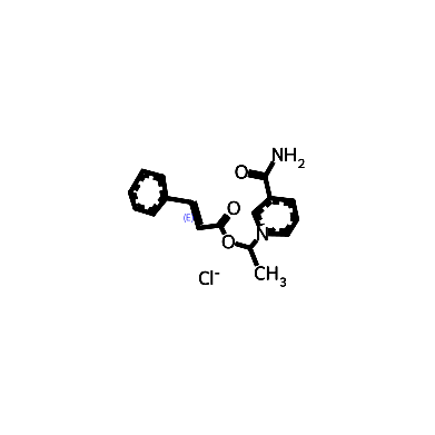 CC(OC(=O)/C=C/c1ccccc1)[n+]1cccc(C(N)=O)c1.[Cl-]